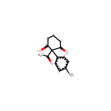 CC(=O)C1(c2ccc(C)cc2)C(=O)CCCC1=O